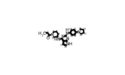 C=CC(=O)N1CCCC(Nc2nc(Nc3ccc(N4CCCC4)cc3)nc3[nH]ccc23)C1